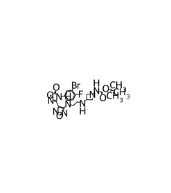 CC(C)(C)OC(=O)NN1CC(NCCNc2nonc2-c2noc(=O)n2-c2ccc(F)c(Br)c2)C1